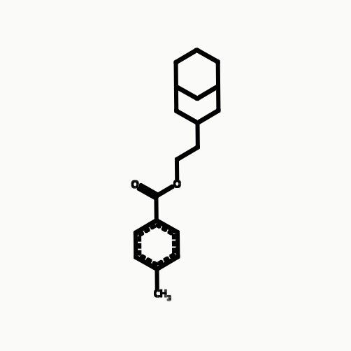 Cc1ccc(C(=O)OCCC2CC3CCCC(C3)C2)cc1